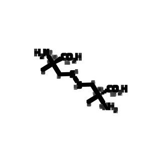 C[C@](N)(CSSC[C@](C)(N)C(=O)O)C(=O)O